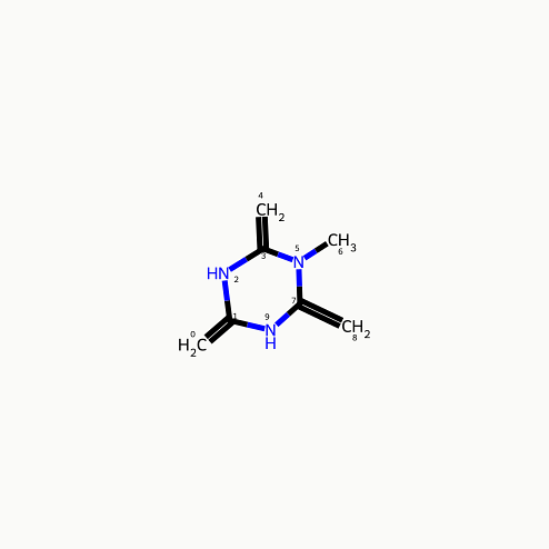 C=C1NC(=C)N(C)C(=C)N1